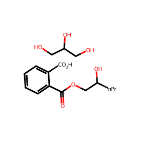 CCCC(O)COC(=O)c1ccccc1C(=O)O.OCC(O)CO